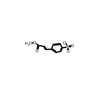 COC(=O)/C=C/c1ccc(S(=O)(=O)Cl)cc1